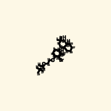 CC1(C)CN(c2ccc(OCCO[Si](C)(C)C(C)(C)C)c(Br)c2F)[C@H]2CCCC[C@H]2N1